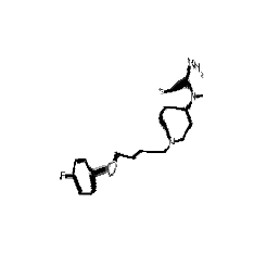 CN(C(N)=S)C1CCN(CCCCOc2ccc(F)cc2)CC1